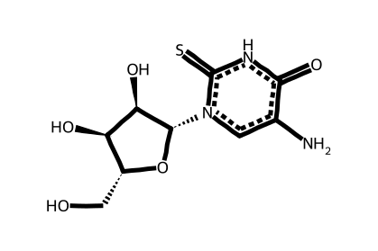 Nc1cn([C@@H]2O[C@H](CO)[C@@H](O)[C@H]2O)c(=S)[nH]c1=O